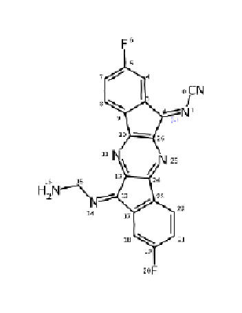 N#C/N=c1\c2cc(F)ccc2c2nc3c(=NCN)c4cc(F)ccc4c3nc12